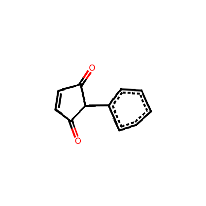 O=C1C=CC(=O)C1c1ccccc1